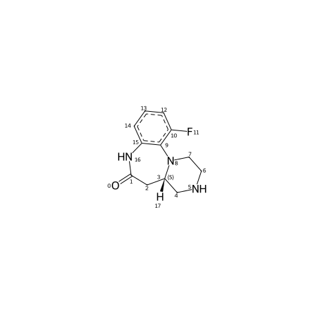 O=C1C[C@H]2CNCCN2c2c(F)cccc2N1